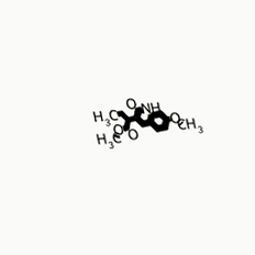 CCC(C(=O)OC)c1cc2ccc(OC)cc2[nH]c1=O